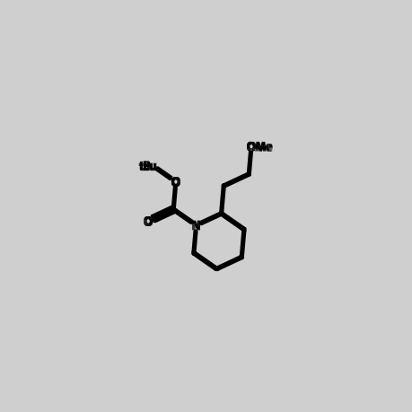 COCCC1CCCCN1C(=O)OC(C)(C)C